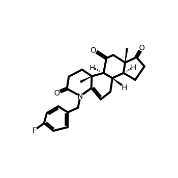 C[C@]12CCC(=O)N(Cc3ccc(F)cc3)C1=CC[C@@H]1[C@@H]2C(=O)C[C@]2(C)C(=O)CC[C@@H]12